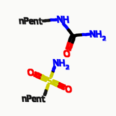 CCCCCNC(N)=O.CCCCCS(N)(=O)=O